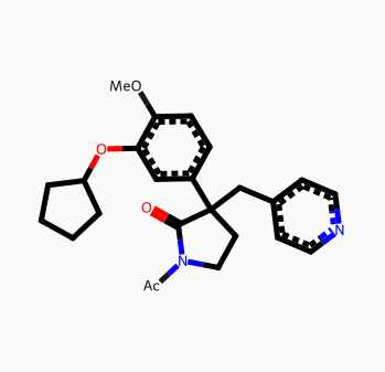 COc1ccc(C2(Cc3ccncc3)CCN(C(C)=O)C2=O)cc1OC1CCCC1